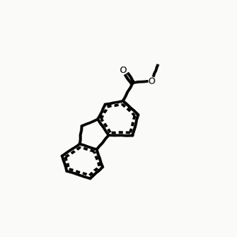 COC(=O)c1ccc2c(c1)Cc1ccccc1-2